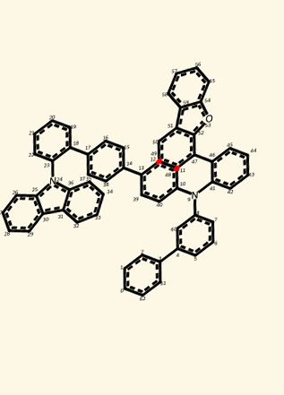 c1ccc(-c2cccc(N(c3ccc(-c4ccc(-c5ccccc5-n5c6ccccc6c6ccccc65)cc4)cc3)c3ccccc3-c3cccc4c3oc3ccccc34)c2)cc1